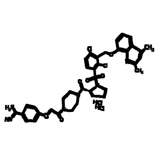 Cc1cc(C)c2cccc(OCc3c(Cl)ccc(S(=O)(=O)N4CCC[C@H]4C(=O)N4CCN(C(=O)COc5ccc(C(=N)N)cc5)CC4)c3Cl)c2n1.Cl.Cl